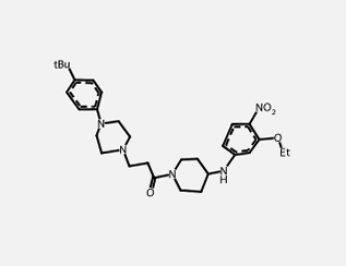 CCOc1cc(NC2CCN(C(=O)CCN3CCN(c4ccc(C(C)(C)C)cc4)CC3)CC2)ccc1[N+](=O)[O-]